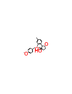 COc1ccc(COC[C@]2(O)CCC(=O)C2c2ccc(C)cc2C)cc1